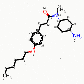 CCCCCCOc1ccc(CCC(=O)N(C)[C@H]2CC[C@@H](N)CC2)cc1